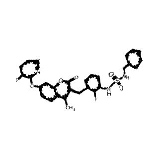 Cc1c(Cc2cccc(NS(=O)(=O)NCc3ccccc3)c2F)c(=O)oc2cc(Oc3ncccc3F)ccc12